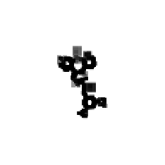 COc1cc(CNc2ncc3c(n2)-c2cccnc2Nc2cnccc2-3)cc(OC)c1